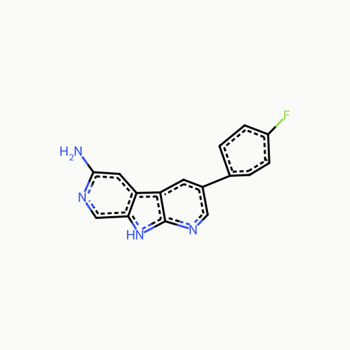 Nc1cc2c(cn1)[nH]c1ncc(-c3ccc(F)cc3)cc12